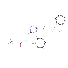 CC(C)(C)OC(=O)N1Cc2cc(Cl)ccc2-n2c(nnc2[C@H]2CC[C@@]3(CC2)OCc2ccccc23)C1